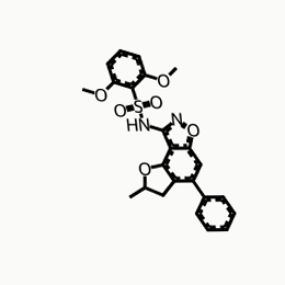 COc1cccc(OC)c1S(=O)(=O)Nc1noc2cc(-c3ccccc3)c3c(c12)OC(C)C3